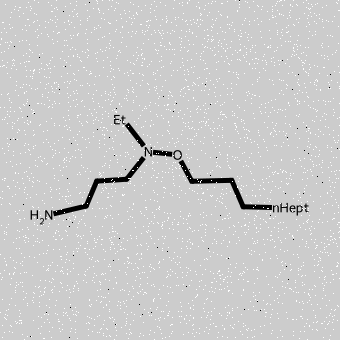 CCCCCCCCCCON(CC)CCCN